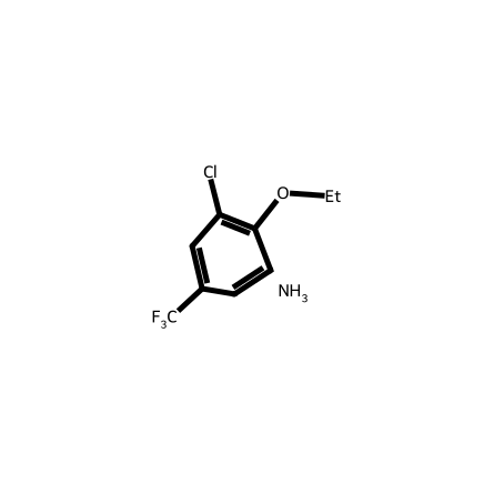 CCOc1ccc(C(F)(F)F)cc1Cl.N